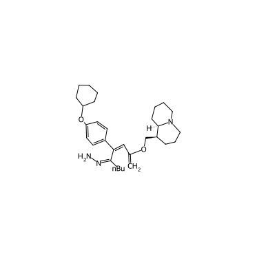 C=C(/C=C(\C(CCCC)=N/N)c1ccc(OC2CCCCC2)cc1)OC[C@@H]1CCCN2CCCC[C@H]12